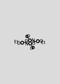 CCOc1ccc(C2=Nc3cc(-c4ccco4)c4c5c(cc(-c6ccco6)c(c35)O2)N=C(c2ccc(OCC)cc2)O4)cc1